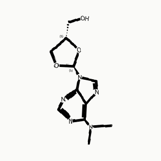 CN(C)c1ncnc2c1ncn2[C@H]1OC[C@H](CO)O1